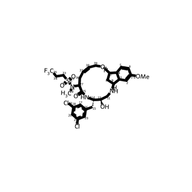 COC1=CC2C(C=C1)[C@H]1C[C@@H]2NC[C@@H](O)[C@H](Cc2cc(Cl)cc(Cl)c2)NC(=O)C(N(C)S(=O)(=O)CCC(F)(F)F)CC=CCO1